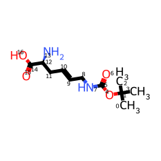 CC(C)(C)OC(=O)NC/C=C/C[C@H](N)C(=O)O